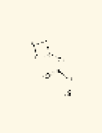 O=C(C[S])OC1CCC1